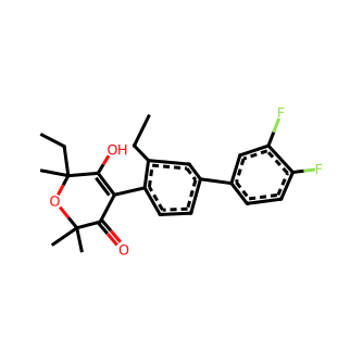 CCc1cc(-c2ccc(F)c(F)c2)ccc1C1=C(O)C(C)(CC)OC(C)(C)C1=O